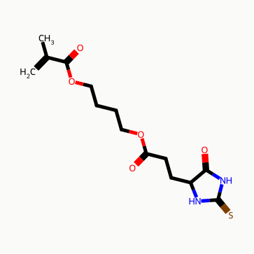 C=C(C)C(=O)OCCCCOC(=O)CCC1NC(=S)NC1=O